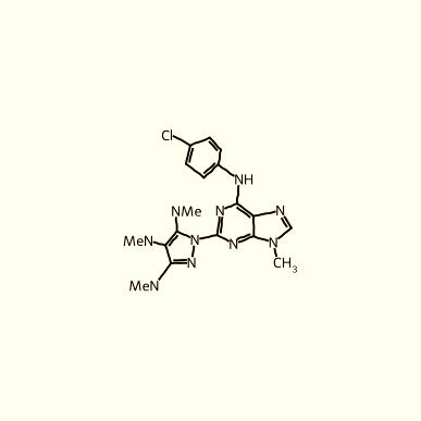 CNc1nn(-c2nc(Nc3ccc(Cl)cc3)c3ncn(C)c3n2)c(NC)c1NC